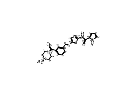 CC(=O)N1CCN(C(=O)c2cccc(CSc3cnc(NC(=O)c4ccc[nH]4)s3)c2)CC1